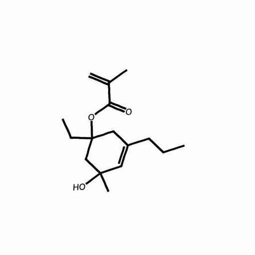 C=C(C)C(=O)OC1(CC)CC(CCC)=CC(C)(O)C1